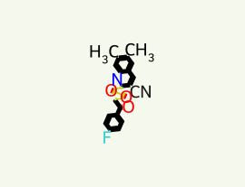 Cc1cc2cc(C#N)c(S(=O)(=O)CC(=O)c3ccc(F)cc3)nc2cc1C